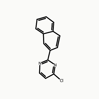 Clc1ccnc(-c2ccc3ccccc3c2)n1